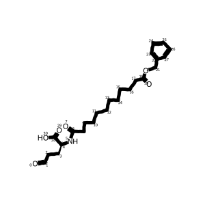 O=[C]CC[C@H](NC(=O)CCCCCCCCCCC(=O)OCc1ccccc1)C(=O)O